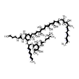 C/C=C/C=C/C=C/[C@@H](C[C@@H]1O[C@](O)(C[C@@H](O)C[C@@H](O)[C@H](O)CC[C@@H](O)C[C@@H](O)CC(=O)O[C@@H](C)[C@H](C)[C@H](O)[C@@H](C)/C=C/C=C/C=C/C)C[C@H](O)[C@H]1NC(=O)NCCCO)O[C@@H]1O[C@H](C)[C@@H](O)[C@H](NC(=O)OCC[Si](C)(C)C)[C@@H]1O